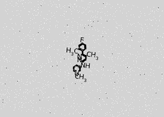 Cc1cc(F)ccc1-c1nnc(N[C@@H]2CCCN(C)C2)cc1C